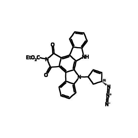 CCOC(=O)N1C(=O)c2c(c3c4ccccc4n(C4C=C[C@H](N=[N+]=[N-])C4)c3c3[nH]c4ccccc4c23)C1=O